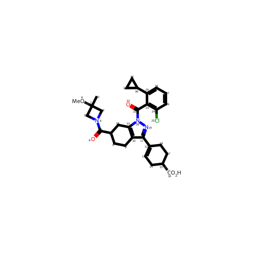 COC1(C)CN(C(=O)C2CCc3c(C4=CCC(C(=O)O)CC4)nn(C(=O)c4c(Cl)cccc4C4CC4)c3C2)C1